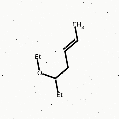 CC=CCC(CC)OCC